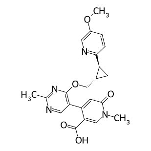 COc1ccc([C@H]2C[C@@H]2COc2nc(C)ncc2-c2cc(=O)n(C)cc2C(=O)O)nc1